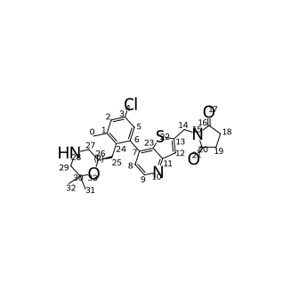 Cc1cc(Cl)cc(-c2ccnc3cc(CN4C(=O)CCC4=O)sc23)c1C[C@@H]1CNCC(C)(C)O1